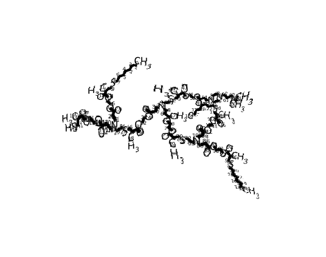 CCCCCCCCSCC(C)C(=O)OCCOC(=O)CCN(CCSCC(C)C(=O)OCCOC(=O)CCN(CCSCC(C)C(=O)OCCOC(=O)CCN1CCN(CCCN(C)C)CC1)CCC(=O)OCCOC(=O)C(C)CSCCN(CCC(=O)OCCOC(=O)C(C)CSCCCCCCCC)CCC(=O)OCCOC(=O)C(C)CSCCCCCCCC)CCC(=O)OCCOC(=O)C(C)CS